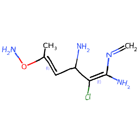 C=N/C(N)=C(/Cl)C(N)/C=C(\C)ON